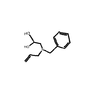 C=CCN(Cc1ccccc1)CC(O)O